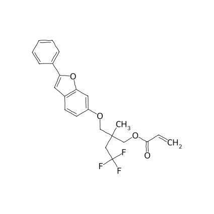 C=CC(=O)OCC(C)(COc1ccc2cc(-c3ccccc3)oc2c1)CC(F)(F)F